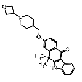 CC1(C)c2cc(OCC3CCN(C4COC4)CC3)ccc2C(=O)c2c1[nH]c1ccccc21